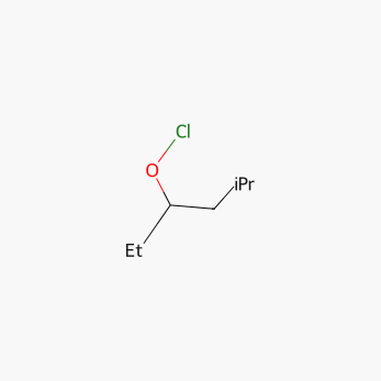 CCC(CC(C)C)OCl